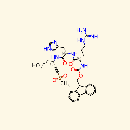 CS(=O)(=O)C#C[C@H](CC(=O)O)NC(=O)[C@H](Cc1c[nH]cn1)NC(=O)[C@H](CCCNC(=N)N)NC(=O)OCC1c2ccccc2-c2ccccc21